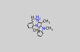 Cc1cccc(C)c1-n1c(N)c(C)c2c1c1ccccc1n2C